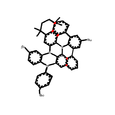 CC(C)c1cc2c3c(c1)N(c1c(-c4ccccc4)cc(C(C)(C)C)cc1-c1ccccc1)c1cc4c(cc1B3c1cc(C(C)(C)C)ccc1N2c1ccc(C(C)(C)C)cc1)C(C)(C)CCC4(C)C